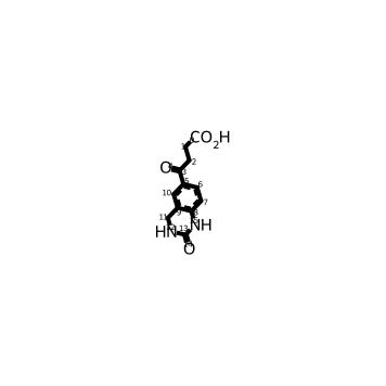 O=C(O)CCC(=O)c1ccc2c(c1)CNC(=O)N2